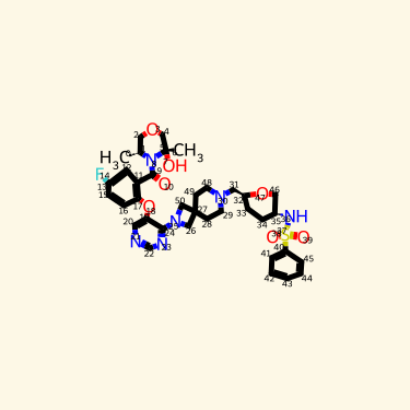 C[C@@H]1COC[C@](C)(O)N1C(=O)c1cc(F)ccc1Oc1cncnc1N1CC2(CCN(C[C@@H]3CC[C@@H](NS(=O)(=O)c4ccccc4)CO3)CC2)C1